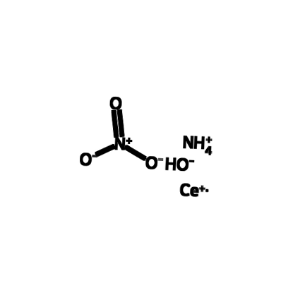 O=[N+]([O-])[O-].[Ce+].[NH4+].[OH-]